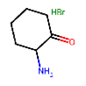 Br.NC1CCCCC1=O